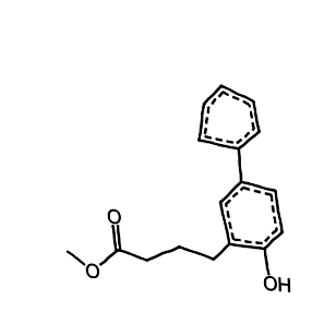 COC(=O)CCCc1cc(-c2ccccc2)ccc1O